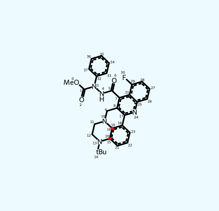 COC(=O)N(NC(=O)c1c(CN2CCN(C(C)(C)C)CC2)c(-c2ccccc2)nc2cccc(F)c12)c1ccccc1